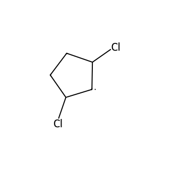 ClC1[CH]C(Cl)CC1